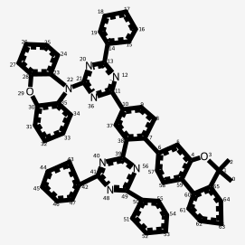 CC1(C)Oc2cc(-c3ccc(-c4nc(-c5ccccc5)nc(N5c6ccccc6Oc6ccccc65)n4)cc3-c3nc(-c4ccccc4)nc(-c4ccccc4)n3)ccc2-c2ccccc21